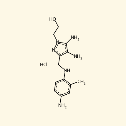 Cc1cc(N)ccc1NCc1nn(CCO)c(N)c1N.Cl